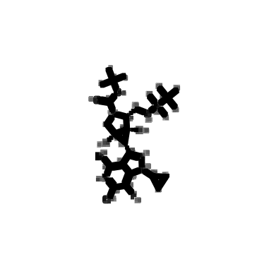 CC(C)(C)OC(=O)N1C[C@@H]2[C@@H](c3nn(C4CC4)c4c(F)c(Cl)nc(Br)c34)[C@@H]2[C@H]1CO[Si](C)(C)C(C)(C)C